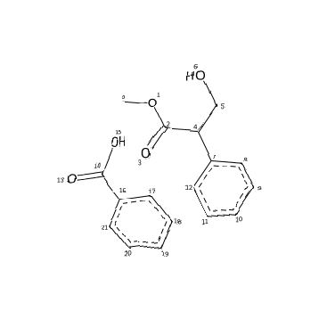 COC(=O)C(CO)c1ccccc1.O=C(O)c1ccccc1